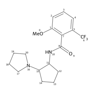 COc1cccc(C(F)(F)F)c1C(=O)NC1CCCC1N1CCCC1